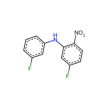 O=[N+]([O-])c1ccc(F)cc1Nc1cccc(F)c1